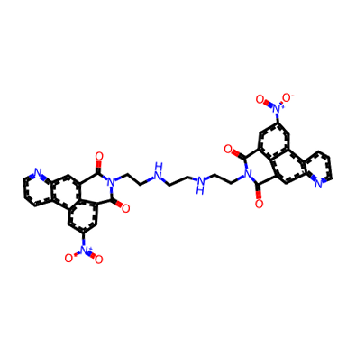 O=C1c2cc([N+](=O)[O-])cc3c2c(cc2ncccc23)C(=O)N1CCNCCNCCN1C(=O)c2cc([N+](=O)[O-])cc3c2c(cc2ncccc23)C1=O